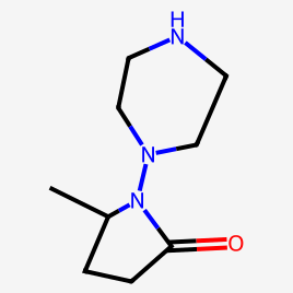 CC1CCC(=O)N1N1CCNCC1